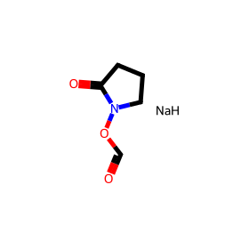 O=CON1CCCC1=O.[NaH]